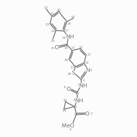 COC(=O)C1(NC(=O)Nc2nc3ccc(C(=O)Nc4c(C)cc(C)cc4C)cc3s2)CC1